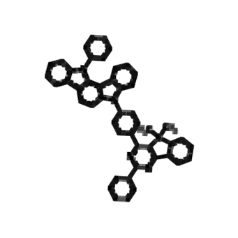 C[Si]1(C)c2ccccc2-c2nc(-c3ccccc3)nc(-c3ccc(-n4c5ccccc5c5c4ccc4c6ccccc6n(-c6ccccc6)c45)cc3)c21